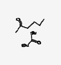 CC(C)(C)C(=O)C(C)(C)C.CCCCC(C)=O